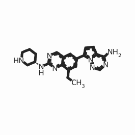 CCc1cc(-c2ccc3c(N)ncnn23)cc2cnc(N[C@H]3CCCNC3)nc12